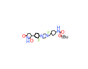 CC(C)(C)OC(=O)NC1CCC(F)(CN2CCN(c3ccc(C4CCC(=O)NC4=O)cc3F)CC2)CC1